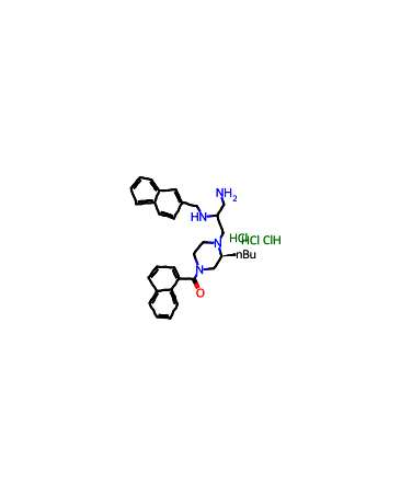 CCCC[C@H]1CN(C(=O)c2cccc3ccccc23)CCN1CC(CN)NCc1ccc2ccccc2c1.Cl.Cl.Cl